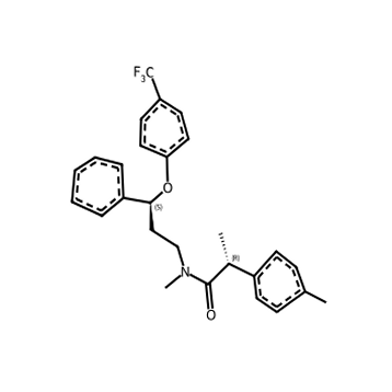 Cc1ccc([C@@H](C)C(=O)N(C)CC[C@H](Oc2ccc(C(F)(F)F)cc2)c2ccccc2)cc1